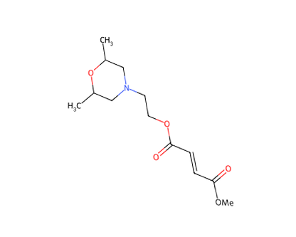 COC(=O)C=CC(=O)OCCN1CC(C)OC(C)C1